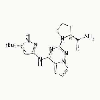 CC(C)(C)c1cc(Nc2nc(N3CCC[C@H]3C(N)=O)nn3cccc23)n[nH]1